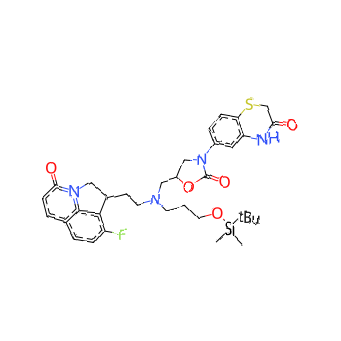 CC(C)(C)[Si](C)(C)OCCCN(CCC1Cn2c(=O)ccc3ccc(F)c1c32)CC1CN(c2ccc3c(c2)NC(=O)CS3)C(=O)O1